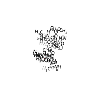 CCC[C@H](NC(=O)C1C[C@@H](Oc2cc(OC)cc(OC)c2)CN1C(=O)[C@@H](NC(=O)[C@@H](NC(=O)c1cnccn1)C1CCCCC1)C(C)(C)c1cc(Cl)nc(O[C@@H]2C[C@@H](C(=O)N[C@@H](CCC)C(=O)C(=O)NC3CC3)N(C(=O)[C@@H](NC(=O)[C@@H](NC(=O)c3cnccn3)C3CCCCC3)C(C)(C)C)C2)c1)C(=O)C(=O)NC1CC1